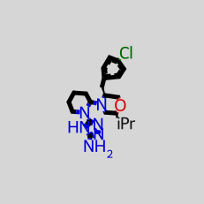 CC(C)[C@H]1CN(C2CCCCN2c2nnc(N)[nH]2)[C@@H](Cc2ccc(Cl)cc2)CO1